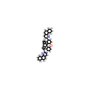 c1ccc2c(c1)Oc1ccc(-c3ccc4ccc5ccccc5c4n3)cc1C21c2ccccc2-c2ccc(-c3ccc4ccc5ccccc5c4n3)cc21